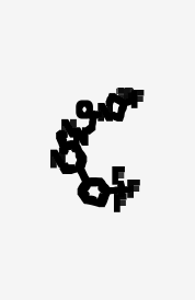 O=C(Cn1ncc2ncc(-c3cccc(C(F)(F)F)c3)cc21)N1CC([18F])C1